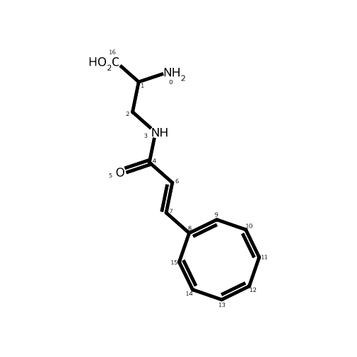 NC(CNC(=O)C=CC1=CC=CC=CC=C1)C(=O)O